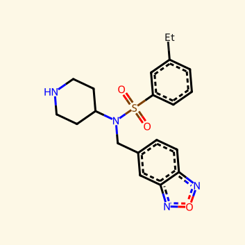 CCc1cccc(S(=O)(=O)N(Cc2ccc3nonc3c2)C2CCNCC2)c1